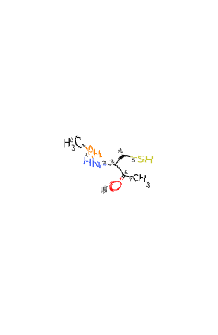 CPN[C@@H](CS)C(C)=O